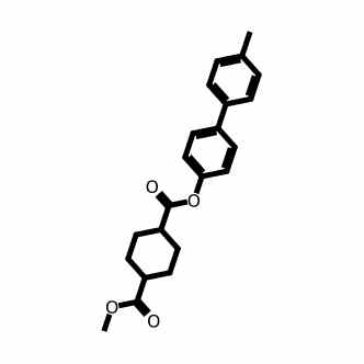 COC(=O)C1CCC(C(=O)Oc2ccc(-c3ccc(C)cc3)cc2)CC1